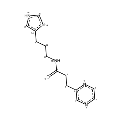 O=C(CCc1cnccn1)NCCCc1c[nH]cn1